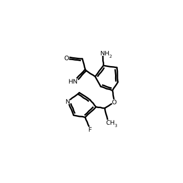 CC(Oc1ccc(N)c(C(=N)C=O)c1)c1ccncc1F